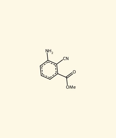 COC(=O)c1cccc(N)c1C#N